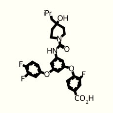 CC(C)CC1(O)CCN(C(=O)Nc2cc(Oc3ccc(F)c(F)c3)cc(Oc3ccc(C(=O)O)cc3F)c2)CC1